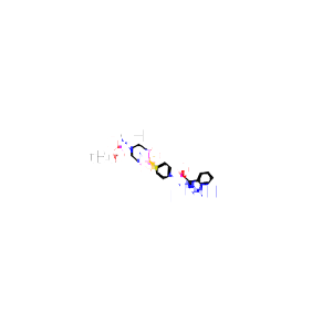 CN(C(=O)OC(C)(C)C)C1CCN(S(=O)(=O)c2ccc(NC(=O)c3n[nH]c4ccccc34)cc2)CC1